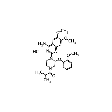 COc1cc2nc(N3CCN(C(=O)C(C)C)CC3Oc3ccccc3OC)nc(N)c2cc1OC.Cl